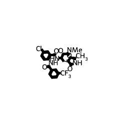 CNC(=O)C(=O)C(C[C@@H]1C[C@@H](C)NC1=O)NC(=O)c1cc(Cl)ccc1NC(=O)c1cccc(C(F)(F)F)c1